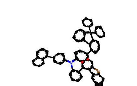 c1ccc(C2(c3ccccc3)c3ccccc3-c3c(-c4ccc(N(c5ccc(-c6cccc7ccccc67)cc5)c5ccccc5-c5cccc6sc7ccccc7c56)cc4)cccc32)cc1